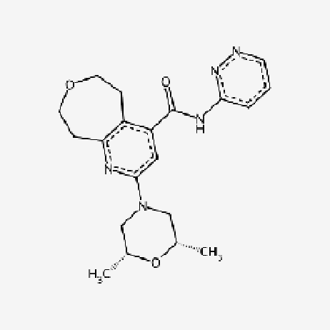 C[C@@H]1CN(c2cc(C(=O)Nc3cccnn3)c3c(n2)CCOCC3)C[C@H](C)O1